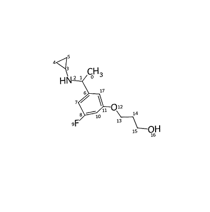 CC(NC1CC1)c1cc(F)cc(OCCCO)c1